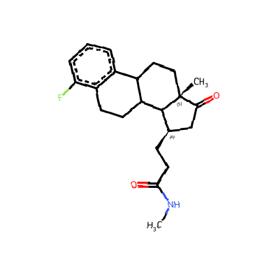 CNC(=O)CC[C@@H]1CC(=O)[C@@]2(C)CCC3c4cccc(F)c4CCC3C12